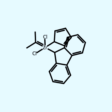 C[C](C)=[Zr]([Cl])([Cl])([CH]1C=CC=C1)[CH]1c2ccccc2-c2ccccc21